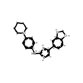 c1cc(N2CCCCC2)ccc1Nc1nc(-c2ccc3c(c2)OCO3)cs1